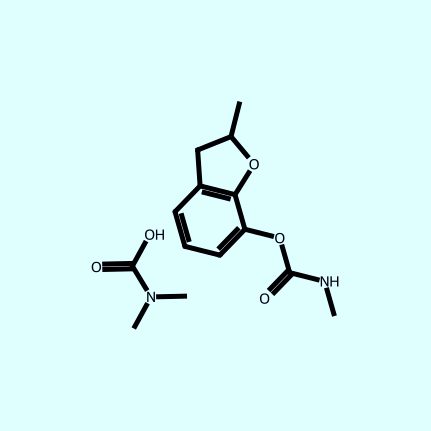 CN(C)C(=O)O.CNC(=O)Oc1cccc2c1OC(C)C2